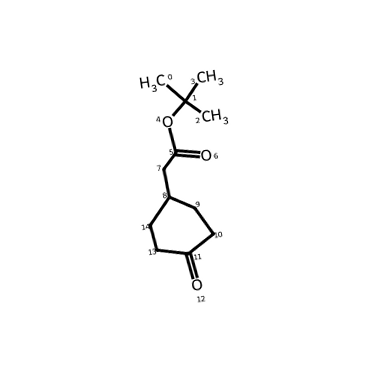 CC(C)(C)OC(=O)CC1CCC(=O)CC1